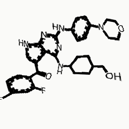 O=C(c1ccc(F)cc1F)c1c[nH]c2nc(Nc3ccc(N4CCOCC4)cc3)nc(NC3CCC(CO)CC3)c12